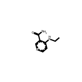 CCNc1ccncc1C(N)=O